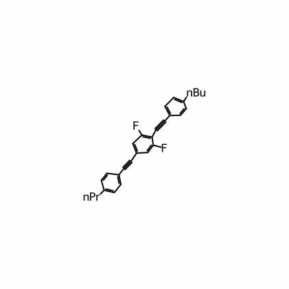 CCCCc1ccc(C#Cc2c(F)cc(C#Cc3ccc(CCC)cc3)cc2F)cc1